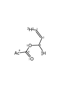 [2H]/C=C\C([2H])OC(=O)C(C)=O